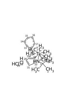 CC(C)(C)[NH][Ti]([CH3])([CH3])([CH3])([CH3])([CH3])([SiH2]c1ccccc1)[C]1=CC=CC1.Cl.Cl